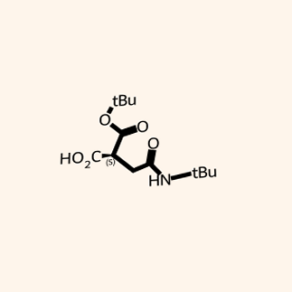 CC(C)(C)NC(=O)C[C@@H](C(=O)O)C(=O)OC(C)(C)C